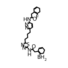 BC1=C(CC(=O)Nc2nnc(CCCCc3ccc(NC(=O)CC4=C(F)CCC=C4)nn3)s2)C=CCC1